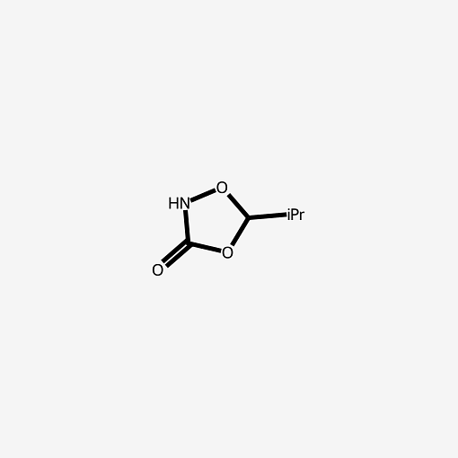 CC(C)C1ONC(=O)O1